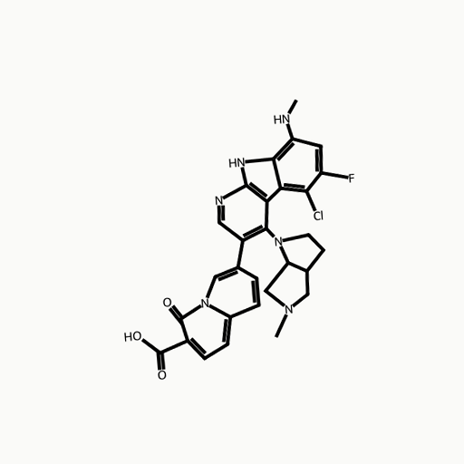 CNc1cc(F)c(Cl)c2c1[nH]c1ncc(-c3ccc4ccc(C(=O)O)c(=O)n4c3)c(N3CCC4CN(C)CC43)c12